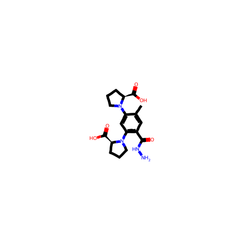 Cc1cc(C(=O)NN)c(N2CCC[C@H]2C(=O)O)cc1N1CCC[C@H]1C(=O)O